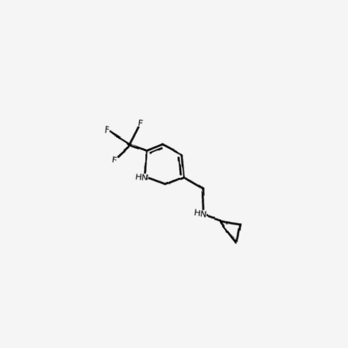 FC(F)(F)C1=CC=C(CNC2CC2)CN1